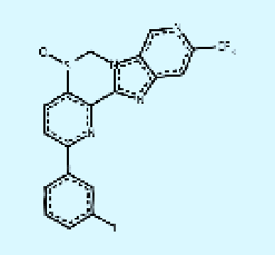 [O-][S+]1Cn2c(nc3cc(C(F)(F)F)ncc32)-c2nc(-c3cccc(F)c3)ccc21